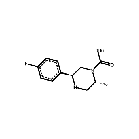 C[C@@H]1CN[C@@H](c2ccc(F)cc2)CN1C(=O)C(C)(C)C